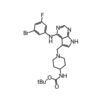 CC(C)(C)OC(=O)NC1CCN(Cc2c[nH]c3ncnc(Nc4cc(F)cc(Br)c4)c23)CC1